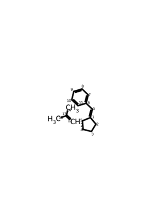 C(=C1CCCC1)c1ccccc1.C=C(C)C